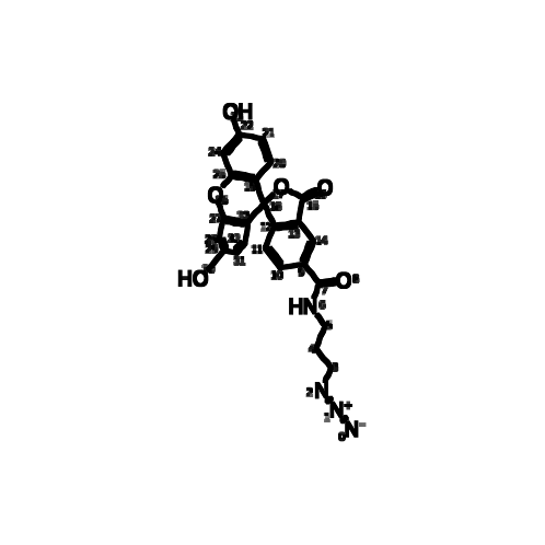 [N-]=[N+]=NCCCNC(=O)c1ccc2c(c1)C(=O)OC21c2ccc(O)cc2Oc2cc(O)ccc21